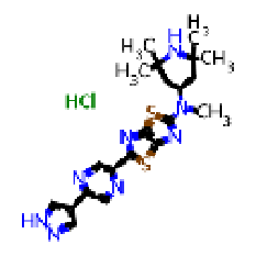 CN(c1nc2sc(-c3cnc(-c4cn[nH]c4)cn3)nc2s1)C1CC(C)(C)NC(C)(C)C1.Cl